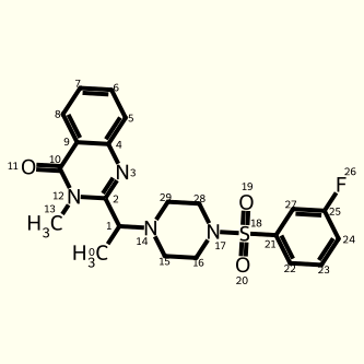 CC(c1nc2ccccc2c(=O)n1C)N1CCN(S(=O)(=O)c2cccc(F)c2)CC1